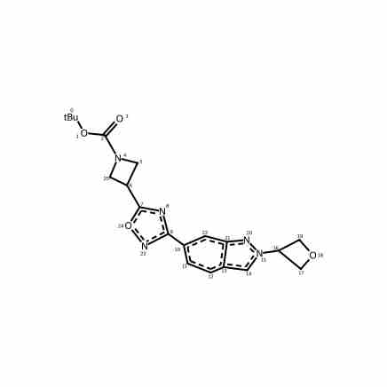 CC(C)(C)OC(=O)N1CC(c2nc(-c3ccc4cn(C5COC5)nc4c3)no2)C1